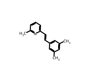 Cc1cc(C)cc(C=Cc2cccc(C)n2)c1